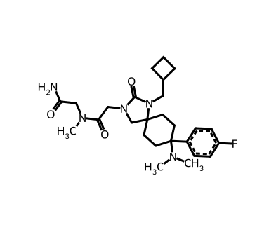 CN(CC(N)=O)C(=O)CN1CC2(CCC(c3ccc(F)cc3)(N(C)C)CC2)N(CC2CCC2)C1=O